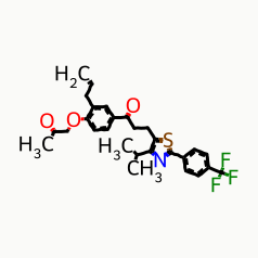 C=CCc1cc(C(=O)CCc2sc(-c3ccc(C(F)(F)F)cc3)nc2C(C)C)ccc1OCC(C)=O